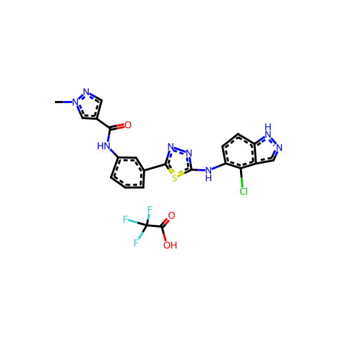 Cn1cc(C(=O)Nc2cccc(-c3nnc(Nc4ccc5[nH]ncc5c4Cl)s3)c2)cn1.O=C(O)C(F)(F)F